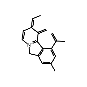 C=C(C)c1cc(C)cc2c1-c1c(=C)/c(=C\C)cc[n+]1C2